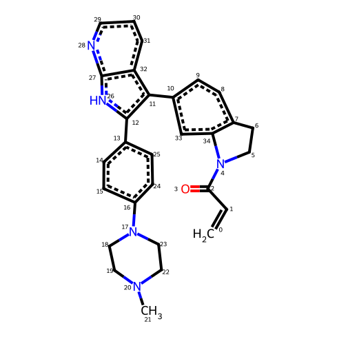 C=CC(=O)N1CCc2ccc(-c3c(-c4ccc(N5CCN(C)CC5)cc4)[nH]c4ncccc34)cc21